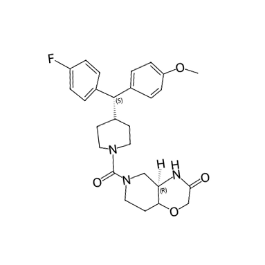 COc1ccc([C@@H](c2ccc(F)cc2)C2CCN(C(=O)N3CCC4OCC(=O)N[C@@H]4C3)CC2)cc1